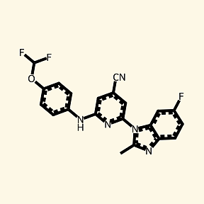 Cc1nc2ccc(F)cc2n1-c1cc(C#N)cc(Nc2ccc(OC(F)F)cc2)n1